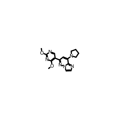 COc1ncc(-c2cc(N3CCCC3)c3nccn3n2)c(OC)n1